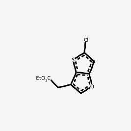 CCOC(=O)Cc1coc2cc(Cl)sc12